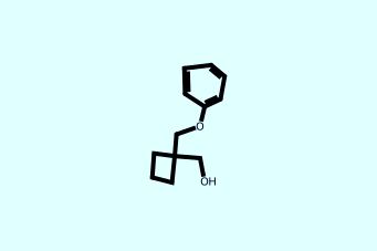 OCC1(COc2ccccc2)CCC1